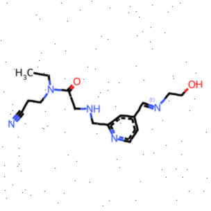 CCN(CCC#N)C(=O)CNCc1cc(/C=N/CCO)ccn1